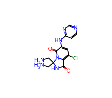 NCC1(CN)NC(=O)c2c(Cl)cc(Nc3ccncn3)c(=O)n21